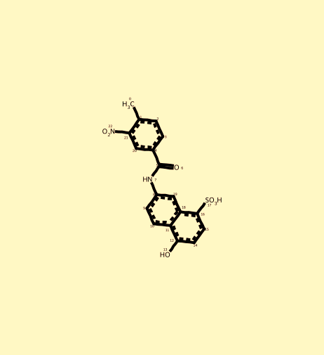 Cc1ccc(C(=O)Nc2ccc3c(O)ccc(S(=O)(=O)O)c3c2)cc1[N+](=O)[O-]